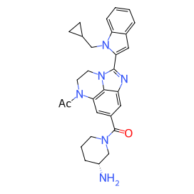 CC(=O)N1CCn2c(-c3cc4ccccc4n3CC3CC3)nc3cc(C(=O)N4CCC[C@@H](N)C4)cc1c32